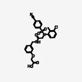 Cc1c(Cl)cccc1N(CC(=O)NCc1cccc(OCC(=O)O)c1)S(=O)(=O)c1ccc(C#N)cc1